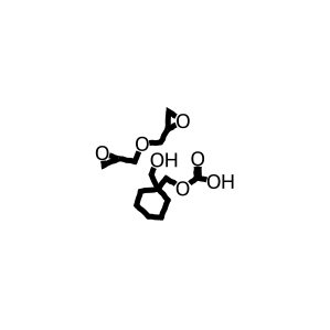 C(OCC1CO1)C1CO1.O=C(O)OCC1(CO)CCCCC1